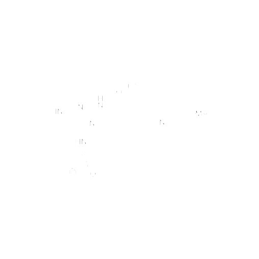 COCCN1CCCC(c2cc(OC(C)C)c(NC3=NC(Nc4ccccc4S(=O)(=O)C(C)C)C4C=CNC4=N3)cc2C)C1